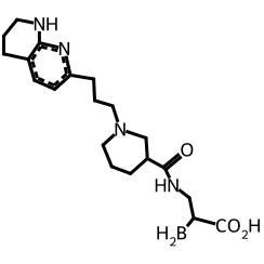 BC(CNC(=O)C1CCCN(CCCc2ccc3c(n2)NCCC3)C1)C(=O)O